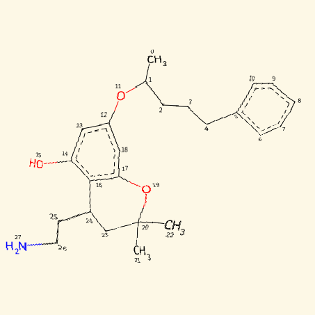 CC(CCCc1ccccc1)Oc1cc(O)c2c(c1)OC(C)(C)CC2CCN